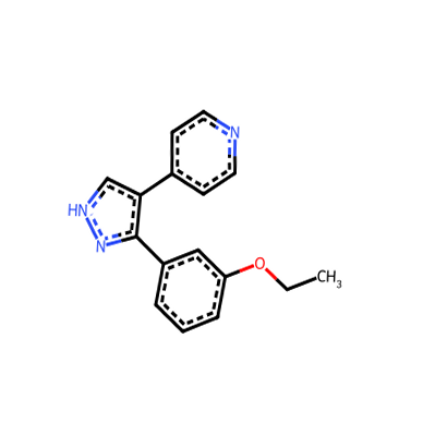 CCOc1cccc(-c2n[nH]cc2-c2ccncc2)c1